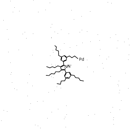 CCCCCCC1=C(c2cc(CCCC)cc(CCCCC)c2)[N+](=[N-])C(c2cc(CCCC)cc(CCCCC)c2)=C1CCCCC.[Pd]